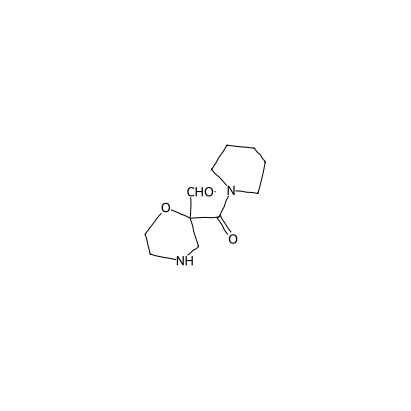 O=[C]C1(C(=O)N2CCCCC2)CNCCO1